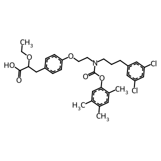 CCOC(Cc1ccc(OCCN(CCCc2cc(Cl)cc(Cl)c2)C(=O)Oc2cc(C)c(C)cc2C)cc1)C(=O)O